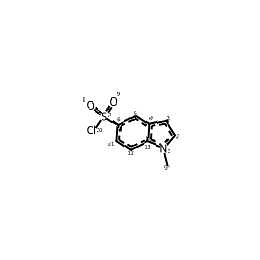 Cn1ccc2cc(S(=O)(=O)Cl)ccc21